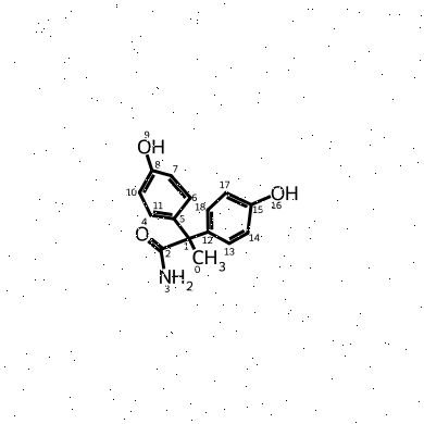 CC(C(N)=O)(c1ccc(O)cc1)c1ccc(O)cc1